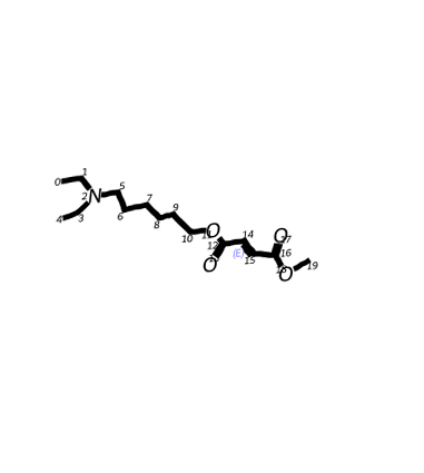 CCN(CC)CCCCCCOC(=O)/C=C/C(=O)OC